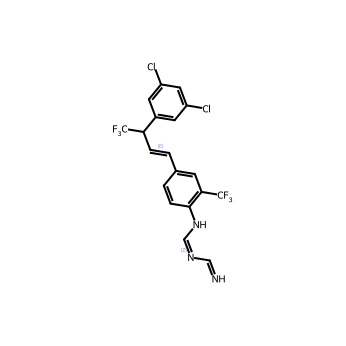 N=C/N=C\Nc1ccc(/C=C/C(c2cc(Cl)cc(Cl)c2)C(F)(F)F)cc1C(F)(F)F